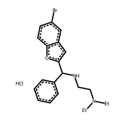 CCN(CC)CCNC(c1ccccc1)c1cc2cc(Br)ccc2o1.Cl